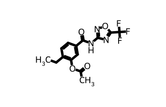 CCc1ccc(C(=O)Nc2noc(C(F)(F)F)n2)cc1OC(C)=O